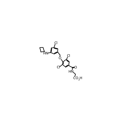 O=C(O)CNC(=O)c1cc(Cl)c(OCc2cc(Cl)cc(NC3CCC3)c2)c(Cl)c1